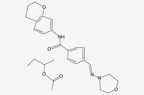 CCC(C)OC(C)=O.O=C(Nc1ccc2c(c1)OCCC2)c1ccc(C=NN2CCOCC2)cc1